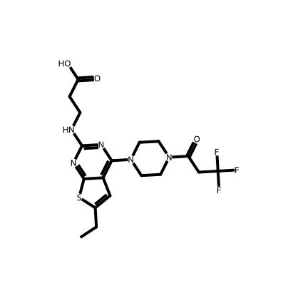 CCc1cc2c(N3CCN(C(=O)CC(F)(F)F)CC3)nc(NCCC(=O)O)nc2s1